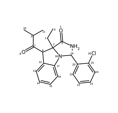 CCC1(C(N)=O)C(C(=O)C(C)C)c2ccccc2N1Cc1ccccc1Cl